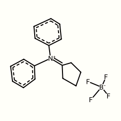 F[B-](F)(F)F.c1ccc([N+](=C2CCCC2)c2ccccc2)cc1